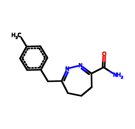 Cc1ccc(CC2=NN=C(C(N)=O)CCC2)cc1